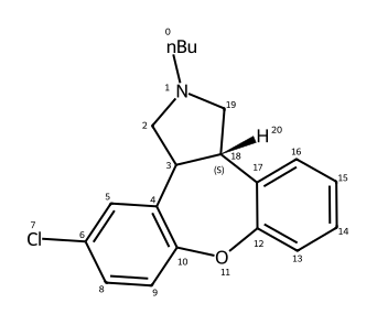 CCCCN1CC2c3cc(Cl)ccc3Oc3ccccc3[C@H]2C1